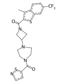 Cc1c(C(=O)N2CC(N3CCN(C(=O)c4ccns4)CC3)C2)sc2cc(C(F)(F)F)ccc12